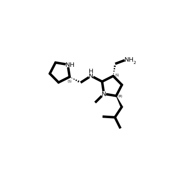 CC(C)C[C@@H]1C[C@@H](CN)C(NC[C@@H]2CCCN2)N1C